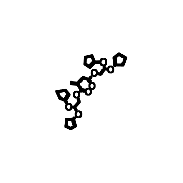 C=C(CC(=O)OCC(OC1=CCCC1)OC1=CCCC1)C(=O)OCC(OC1=CCCC1)OC1=CCCC1